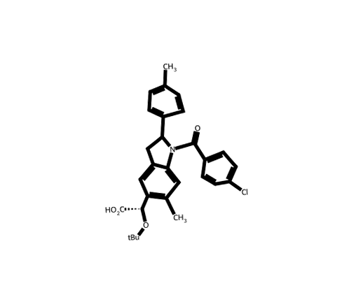 Cc1ccc(C2Cc3cc([C@H](OC(C)(C)C)C(=O)O)c(C)cc3N2C(=O)c2ccc(Cl)cc2)cc1